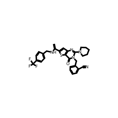 C=C(NCc1ccc(C(F)(F)F)cc1)c1cc2nc(N3CCCCC3)n(Cc3ccccc3C#N)c(=O)c2s1